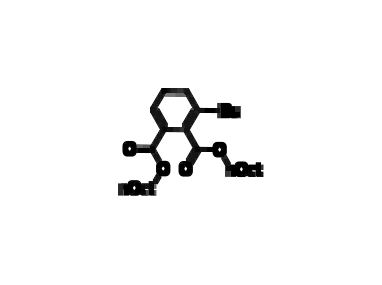 CCCCCCCCOC(=O)c1cccc(C(C)CC)c1C(=O)OCCCCCCCC